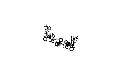 C[C@@H](C(=O)N[C@H](C(=O)N1CCC[C@H]1C(=O)Nc1ccccc1-c1ccccc1NC(=O)[C@@H]1CCCN1C(=O)[C@@H](NC(=O)[C@H](C)N(C)C(=O)OC(C)(C)C)C1CCCCC1)C1CCCCC1)N(C)C(=O)OC(C)(C)C